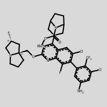 CC(C)(C)OC(=O)N1C2CCC1CN(c1nc(OC[C@@]34CCCN3C[C@H](F)C4)nc3c(F)c(-c4cc(N)cc(Cl)c4C(F)(F)F)c(Cl)cc13)C2